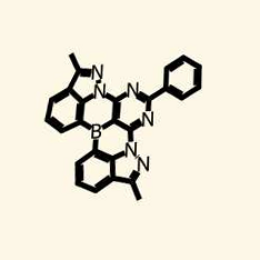 Cc1nn2c3c(cccc13)B1c3c-2nc(-c2ccccc2)nc3-n2nc(C)c3cccc1c32